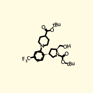 CC(C)(C)OC(=O)C1CCN(c2cc(C(F)(F)F)ccc2[C@@H]2C[C@@H](CO)N(C(=O)OC(C)(C)C)C2)CC1